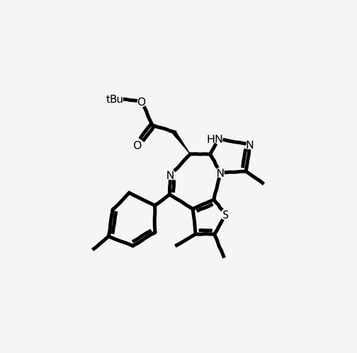 CC1=CCC(C2=N[C@@H](CC(=O)OC(C)(C)C)C3NN=C(C)N3c3sc(C)c(C)c32)C=C1